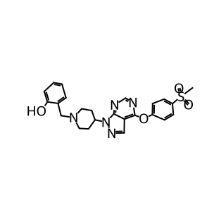 CS(=O)(=O)c1ccc(Oc2ncnc3c2cnn3C2CCN(Cc3ccccc3O)CC2)cc1